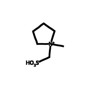 C[N+]1(CS(=O)(=O)O)CCCC1